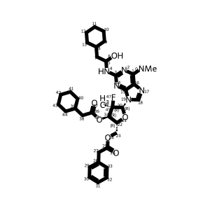 CNc1nc(NC(O)CC2CCCCC2)nc2c1ncn2[C@@H]1O[C@H](COC(=O)Cc2ccccc2)[C@@H](OC(=O)CC2CCCCC2)[C@@]1(C)F